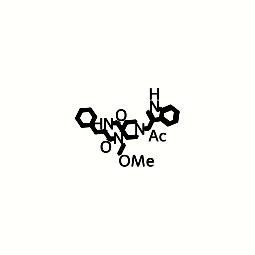 COCCN1C(=O)C(CC2CCCCC2)NC(=O)C12CCN(C(C(C)=O)c1c[nH]c3ccccc13)CC2